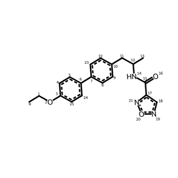 CCOc1ccc(-c2ccc(CC(C)NC(=O)c3cnon3)cc2)cc1